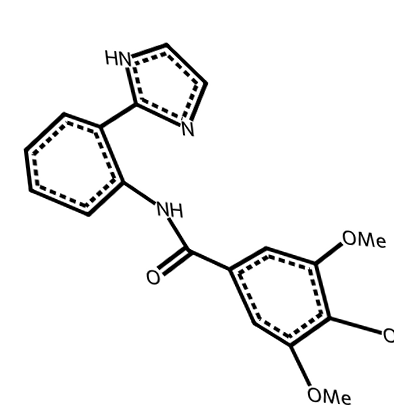 COc1cc(C(=O)Nc2ccccc2-c2ncc[nH]2)cc(OC)c1OC